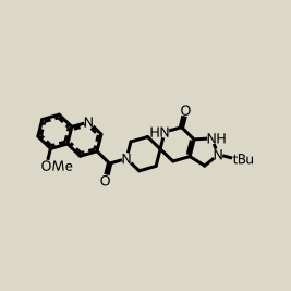 COc1cccc2ncc(C(=O)N3CCC4(CC3)CC3=C(NN(C(C)(C)C)C3)C(=O)N4)cc12